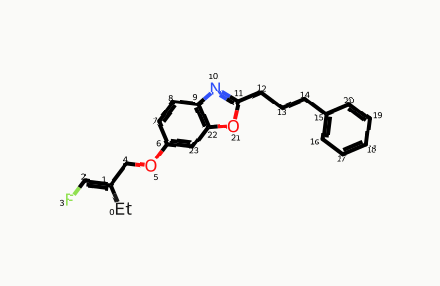 CC/C(=C\F)COc1ccc2nc(CCCc3ccccc3)oc2c1